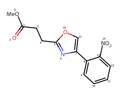 COC(=O)CCc1nc(-c2ccccc2[N+](=O)[O-])co1